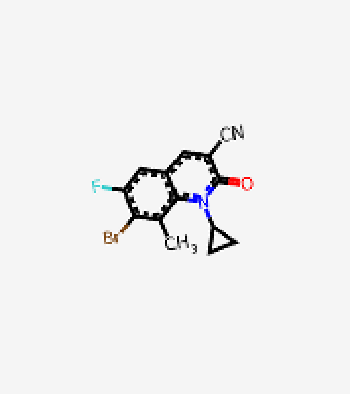 Cc1c(Br)c(F)cc2cc(C#N)c(=O)n(C3CC3)c12